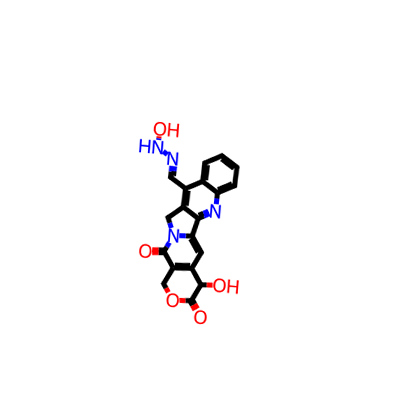 O=C1OCc2c(cc3n(c2=O)Cc2c-3nc3ccccc3c2/C=N/NO)C1O